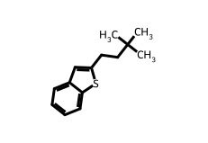 CC(C)(C)CCc1cc2ccccc2s1